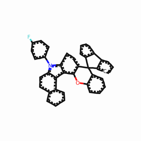 Fc1ccc(-n2c3ccc4c(c3c3c5ccccc5ccc32)Oc2ccccc2C42c3ccccc3-c3ccccc32)cc1